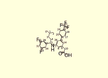 CC(C)CCC(Nc1cc(CC(=O)O)cc(-c2ccc(C(F)(F)F)cc2)c1)c1cc(F)cc(F)c1